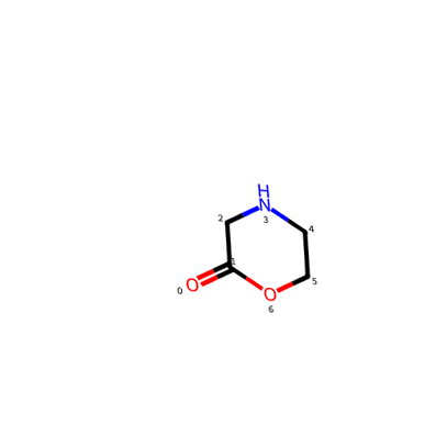 O=C1CNCCO1